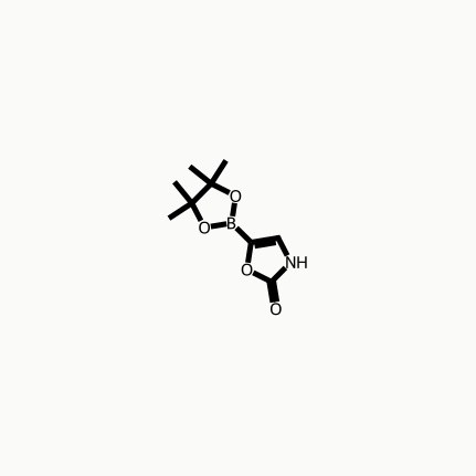 CC1(C)OB(c2c[nH]c(=O)o2)OC1(C)C